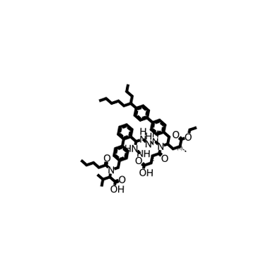 CCCCCC(CCC)c1ccc(-c2ccc(CC(C[C@@H](C)C(=O)OCC)N(NNNC(NN)c3ccccc3-c3ccc(CN(C(=O)CCCC)C(C(=O)O)C(C)C)cc3)C(=O)CCC(=O)O)cc2)cc1